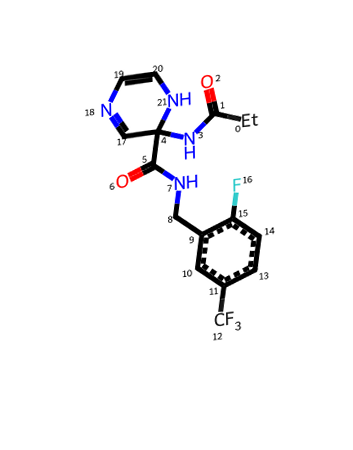 CCC(=O)NC1(C(=O)NCc2cc(C(F)(F)F)ccc2F)C=NC=CN1